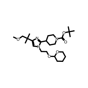 COCC(C)(C)c1cn(CCOC2CCCCO2)c(C2CCN(C(=O)OC(C)(C)C)CC2)n1